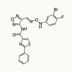 O=C(Nc1nonc1/C=N/ONc1ccc(F)c(Br)c1)c1csc(-c2ccccc2)n1